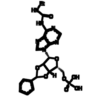 CCNC(=O)Nc1ncnc2c1ncn2[C@@H]1O[C@H](COP(=O)(O)O)[C@@H]2OC(c3ccccc3)OC21